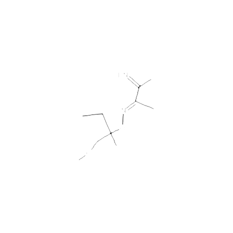 CC[C@H](C)C(C)(CC)O/N=C(\C)C(C)=N